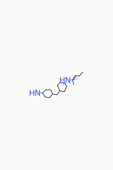 CC/C=C(\C)NC1CCC(CC2CCC(NC)CC2)CC1